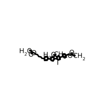 C=CC(=O)OCCCCCc1ccc(-c2ccc3c(c2)C(C)(C)c2cc(-c4ccc(COC(=O)C=C)cc4)cc(I)c2-3)cc1